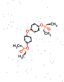 C=CP(=O)(C=C)Oc1ccc(Oc2ccc(OP(=O)(C=C)C=C)cc2)cc1